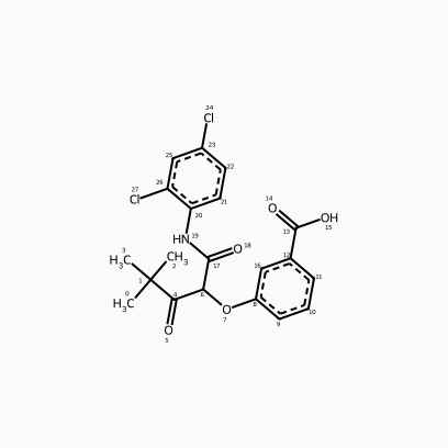 CC(C)(C)C(=O)C(Oc1cccc(C(=O)O)c1)C(=O)Nc1ccc(Cl)cc1Cl